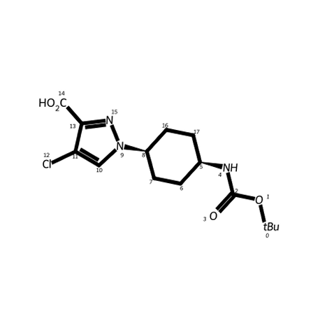 CC(C)(C)OC(=O)N[C@H]1CC[C@@H](n2cc(Cl)c(C(=O)O)n2)CC1